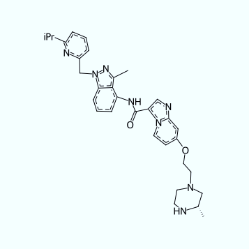 Cc1nn(Cc2cccc(C(C)C)n2)c2cccc(NC(=O)c3cnc4cc(OCCN5CCN[C@@H](C)C5)ccn34)c12